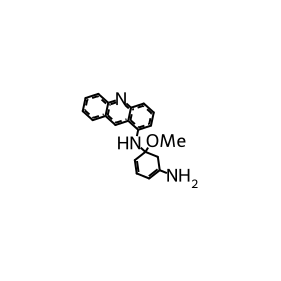 COC1(Nc2cccc3nc4ccccc4cc23)C=CC=C(N)C1